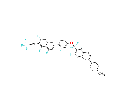 CC1CCC(c2ccc3c(F)c(C(F)(F)Oc4ccc(-c5cc(F)c6c(F)c(C#CC(F)(F)F)c(F)cc6c5)c(F)c4)c(F)cc3c2)CC1